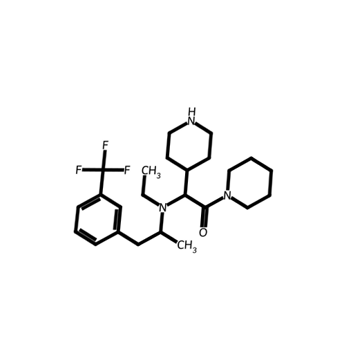 CCN(C(C)Cc1cccc(C(F)(F)F)c1)C(C(=O)N1CCCCC1)C1CCNCC1